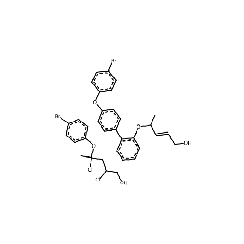 CC(C=CCO)Oc1ccccc1-c1ccc(Oc2ccc(Br)cc2)cc1.CC(Cl)(CC(Cl)CO)Oc1ccc(Br)cc1